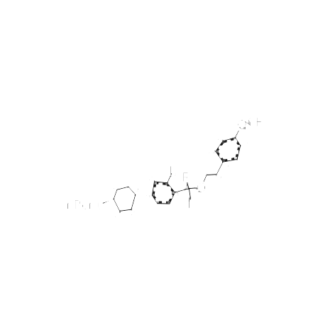 CCCCC[C@H]1CC[C@H](c2ccc(C(F)(F)OCCc3ccc(OC(F)(F)F)cc3)c(F)c2)CC1